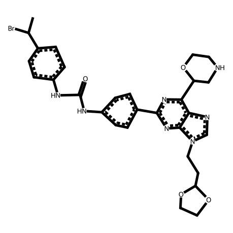 CC(Br)c1ccc(NC(=O)Nc2ccc(-c3nc(C4CNCCO4)c4ncn(CCC5OCCO5)c4n3)cc2)cc1